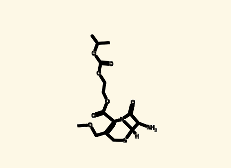 COCC1=C(C(=O)OCCOC(=O)OC(C)C)N2C(=O)C(N)[C@@H]2SC1